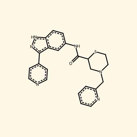 O=C(Nc1ccc2[nH]nc(-c3ccncc3)c2c1)C1CN(Cc2ccccn2)CCS1